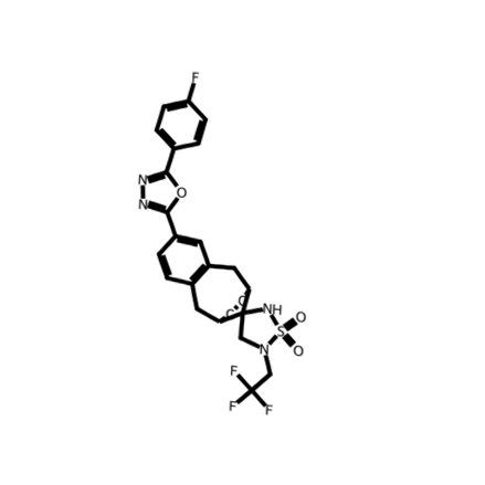 O=S1(=O)NC2(CN1CC(F)(F)F)C1CCC2Cc2cc(-c3nnc(-c4ccc(F)cc4)o3)ccc2C1